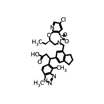 CC[C@@H]1CN(Cc2cc(C(CC(=O)O)c3ccc4c(nnn4C)c3C)cc3c2CCC3)S(=O)(=O)c2cc(Cl)cnc2O1